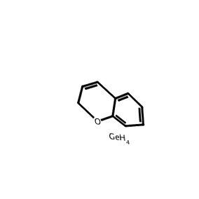 C1=Cc2ccccc2OC1.[GeH4]